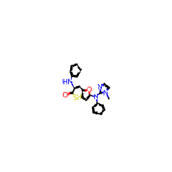 Cn1ccnc1N(c1ccccc1)c1ccc(/C=C(/Nc2ccccc2)C(=O)S)o1